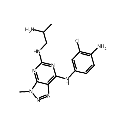 CC(N)CNc1nc(Nc2ccc(N)c(Cl)c2)c2nnn(C)c2n1